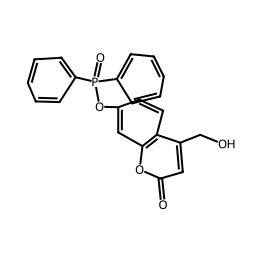 O=c1cc(CO)c2ccc(OP(=O)(c3ccccc3)c3ccccc3)cc2o1